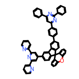 c1ccc(-c2cc(-c3ccc(-c4ccc5c(c4)-c4cc(-c6cc(-c7ccccn7)nc(-c7ccccn7)c6)ccc4C54c5ccccc5Oc5ccccc54)cc3)nc(-c3ccccc3)n2)cc1